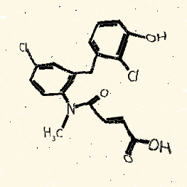 CN(C(=O)C=CC(=O)O)c1ccc(Cl)cc1Cc1cccc(O)c1Cl